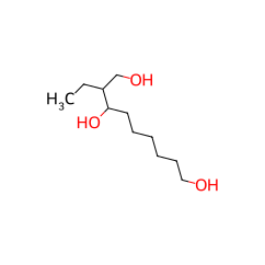 CCC(CO)C(O)CCCCCCO